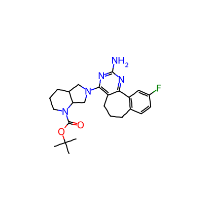 CC(C)(C)OC(=O)N1CCCC2CN(c3nc(N)nc4c3CCCc3ccc(F)cc3-4)CC21